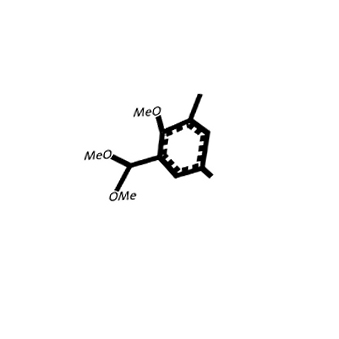 COc1c(C)cc(C)cc1C(OC)OC